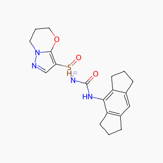 O=C(/N=[SH](=O)/c1cnn2c1OCCC2)Nc1c2c(cc3c1CCC3)CCC2